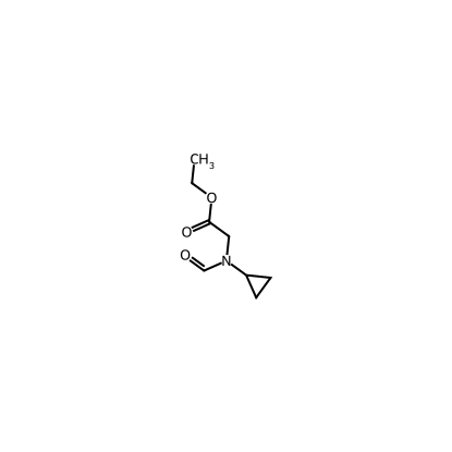 CCOC(=O)CN(C=O)C1CC1